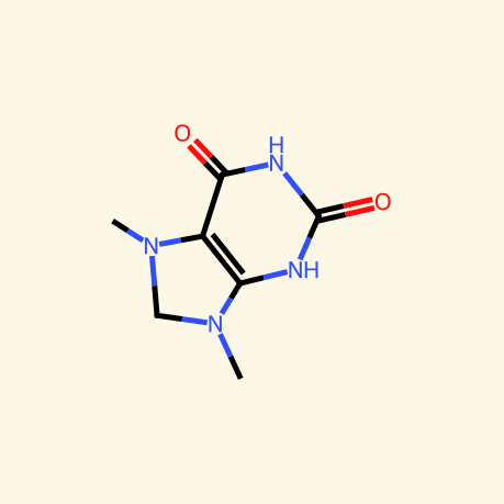 CN1CN(C)c2c1[nH]c(=O)[nH]c2=O